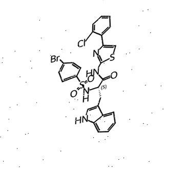 O=C(Nc1nc(-c2ccccc2Cl)cs1)[C@H](Cc1c[nH]c2ccccc12)NS(=O)(=O)c1ccc(Br)cc1